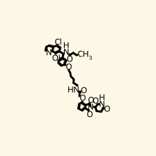 CCCC(=O)NC(c1cccc(OCCCCCCNC(=O)COc2cccc3c2C(=O)N(C2CCC(=O)NC2=O)C3=O)c1)c1cc(Cl)c2cccnc2c1O